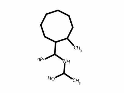 CCCC(NC(C)O)C1CCCCCCC1C